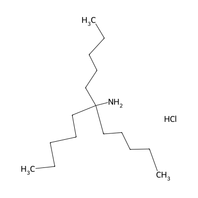 CCCCCC(N)(CCCCC)CCCCC.Cl